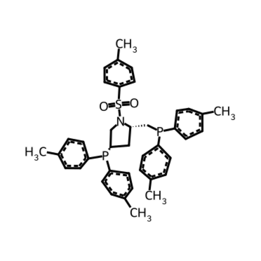 Cc1ccc(P(C[C@@H]2C[C@H](P(c3ccc(C)cc3)c3ccc(C)cc3)CN2S(=O)(=O)c2ccc(C)cc2)c2ccc(C)cc2)cc1